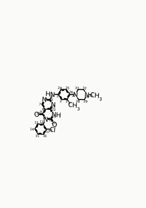 Cc1cc(Nc2ncc3c(=O)n(-c4ccccc4Cl)c(=O)[nH]c3n2)ccc1N1CCN(C)CC1